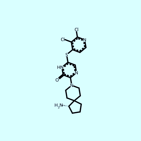 N[C@H]1CCCC12CCN(c1ncc(Sc3ccnc(Cl)c3Cl)[nH]c1=O)CC2